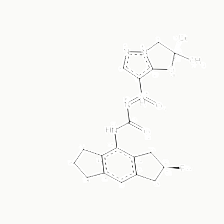 CC[C@@]1(C)Cn2ncc([SH](=O)=NC(=O)Nc3c4c(cc5c3C[C@@H](F)C5)CCC4)c2O1